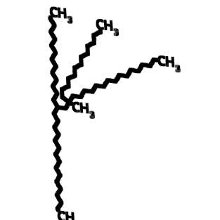 CCCCCCCCCCCCCCCCC(CCCCCCCCCCCCCC)CC(C)(CCCCCCCCCCCCCC)CCCCCCCCCCCCCCCC